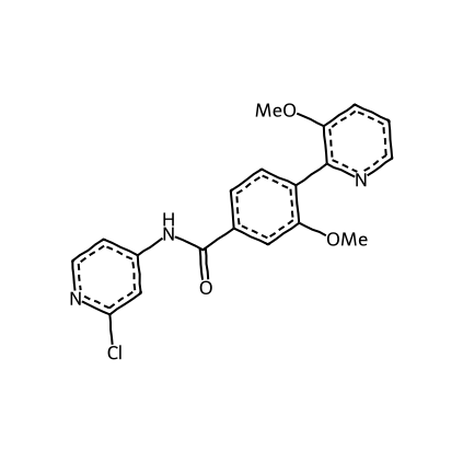 COc1cc(C(=O)Nc2ccnc(Cl)c2)ccc1-c1ncccc1OC